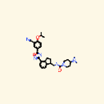 CC(C)Oc1ccc(-c2nc(-c3cccc4c3CCC4CNC(=O)N3CCC(N(C)C)CC3)no2)cc1C#N